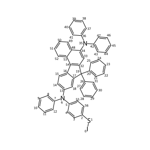 ISc1ccc(N(c2ccccc2)c2ccc3c(c2)C(c2ccccc2)(c2ccccc2)c2cc(N(c4ccccc4)c4ccccc4)c4ccccc4c2-3)cc1